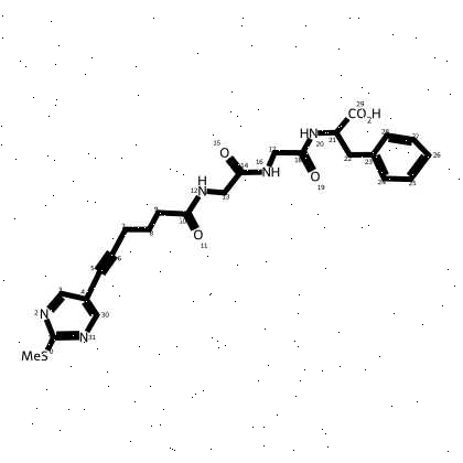 CSc1ncc(C#CCCCC(=O)NCC(=O)NCC(=O)NC(Cc2ccccc2)C(=O)O)cn1